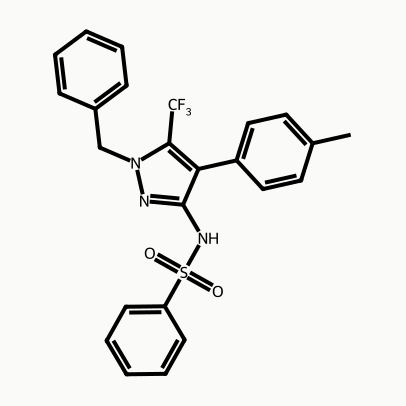 Cc1ccc(-c2c(NS(=O)(=O)c3ccccc3)nn(Cc3ccccc3)c2C(F)(F)F)cc1